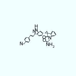 CN(C)Cc1ccc(/C=C/c2n[nH]c3cc([C@@H]4CC45C(=O)N(CC(N)=O)c4ccccc45)ccc23)cc1